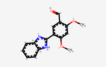 COc1cc(OC)c(-c2nc3ccccc3[nH]2)cc1C=O